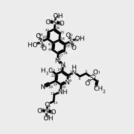 C=CS(=O)(=O)CCNc1nc(NCCOS(=O)(=O)O)c(C#N)c(C)c1/N=N/c1cc(S(=O)(=O)O)c2cc(S(=O)(=O)O)cc(S(=O)(=O)O)c2c1